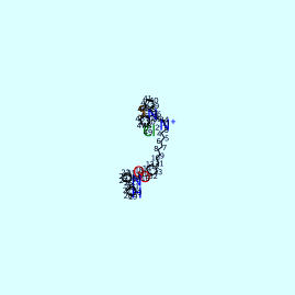 C[N+](C)(CCCCCCCCCC1CCC(OC(=O)Nc2ccccc2-c2ccccc2)CC1)CCCN1c2ccccc2Sc2ccc(Cl)cc21